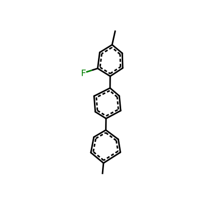 Cc1ccc(-c2ccc(-c3ccc(C)cc3F)cc2)cc1